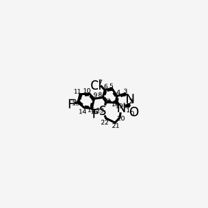 O=c1ncc2cc(Cl)c(-c3ccc(F)cc3F)c3c2n1CCCS3